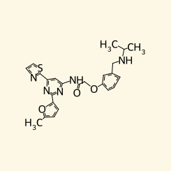 Cc1ccc(-c2nc(NC(=O)COc3cccc(CNC(C)C)c3)cc(-c3nccs3)n2)o1